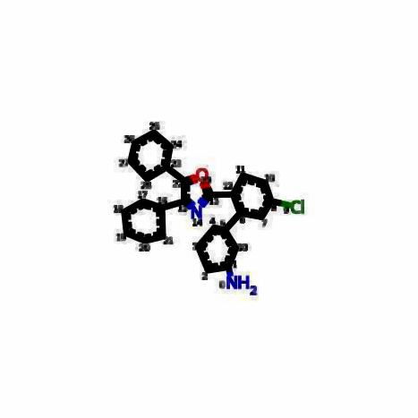 Nc1cccc(-c2cc(Cl)ccc2-c2nc(-c3ccccc3)c(-c3ccccc3)o2)c1